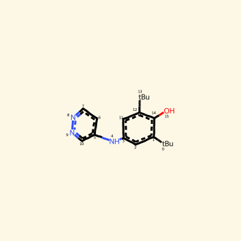 CC(C)(C)c1cc(Nc2ccnnc2)cc(C(C)(C)C)c1O